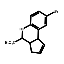 CCOC(=O)C1Nc2ccc(C(C)C)cc2C2C=CCC12